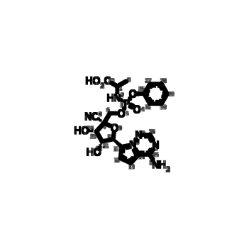 CC(N[P@@](=O)(OC[C@@]1(C#N)O[C@@H](c2ccc3c(N)ncnn23)[C@H](O)[C@@H]1O)Oc1ccccc1)C(=O)O